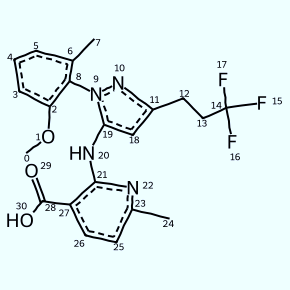 COc1cccc(C)c1-n1nc(CCC(F)(F)F)cc1Nc1nc(C)ccc1C(=O)O